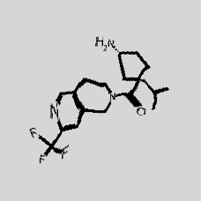 CC(C)[C@]1(C(=O)N2CCc3cnc(C(F)(F)F)cc3C2)CC[C@@H](N)C1